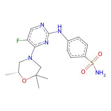 C[C@@H]1CN(c2nc(Nc3ccc(S(N)(=O)=O)cc3)ncc2F)CC(C)(C)O1